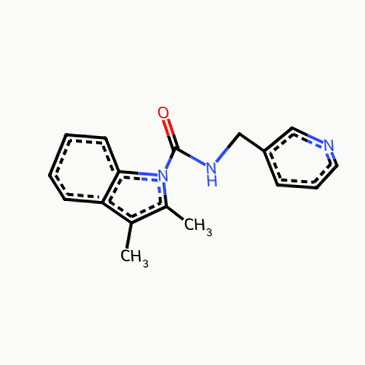 Cc1c(C)n(C(=O)NCc2cccnc2)c2ccccc12